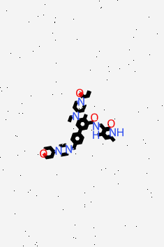 C=CC(=O)N1CCC(N(CC)c2cc(-c3ccc(CN4CCN(C5CCOCC5)CC4)cc3)cc(C(=O)NCc3c(C)cc(C)[nH]c3=O)c2C)CC1